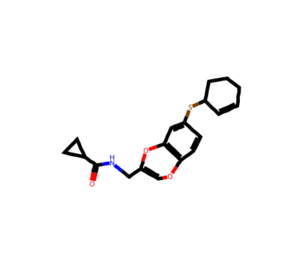 O=C(NCC1=COc2ccc(SC3C=CCCC3)cc2O1)C1CC1